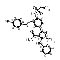 Cn1nc(-c2ccc(NS(=O)(=O)CC(F)(F)F)c(OCc3ccc(F)cc3)c2)c(C(N)=O)c1Nc1ccccn1